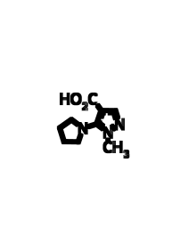 Cn1ncc(C(=O)O)c1N1CCCC1